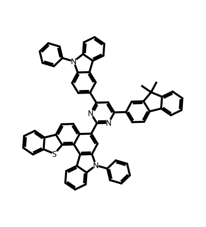 CC1(C)c2ccccc2-c2ccc(-c3cc(-c4ccc5c(c4)c4ccccc4n5-c4ccccc4)nc(-c4cc5c(c6ccccc6n5-c5ccccc5)c5c4ccc4c6ccccc6sc45)n3)cc21